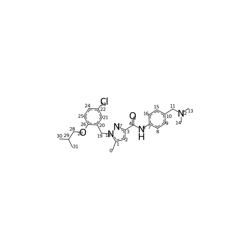 Cc1cc(C(=O)Nc2ccc(CN(C)C)cc2)nn1Cc1cc(Cl)ccc1OCC(C)C